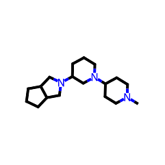 CN1CCC(N2CCCC(N3CC4CCCC4C3)C2)CC1